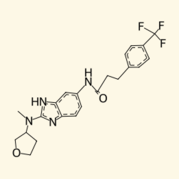 CN(c1nc2ccc(NC(=O)CCc3ccc(C(F)(F)F)cc3)cc2[nH]1)C1CCOC1